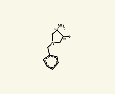 N[C@H]1CN(Cc2ccccc2)C[C@@H]1F